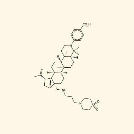 C=C(C)[C@@H]1CC[C@]2(CNCCCN3CCS(=O)(=O)CC3)CC[C@]3(C)[C@H](CC[C@@H]4[C@@]5(C)CCN(c6ccc(C(=O)O)cc6)C(C)(C)[C@@H]5CC[C@]43C)[C@@H]12